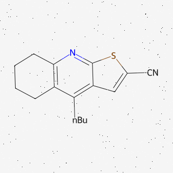 CCCCc1c2c(nc3sc(C#N)cc13)CCCC2